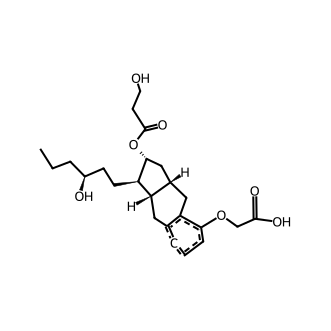 CCC[C@H](O)CC[C@@H]1[C@H]2Cc3cccc(OCC(=O)O)c3C[C@H]2C[C@H]1OC(=O)CCO